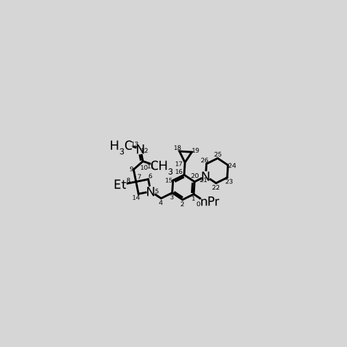 CCCc1cc(CN2CC(CC)(C/C(C)=N\C)C2)cc(C2CC2)c1N1CCCCC1